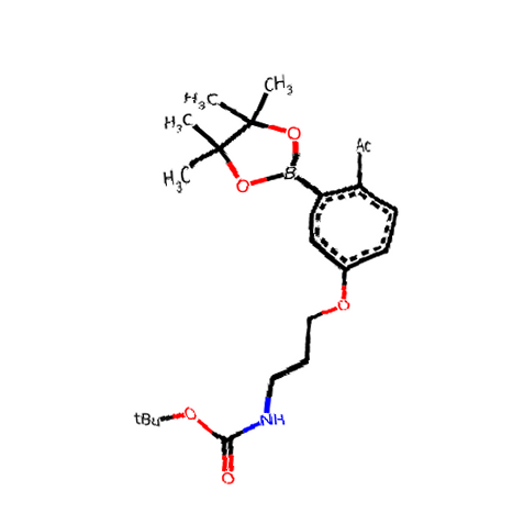 CC(=O)c1ccc(OCCCNC(=O)OC(C)(C)C)cc1B1OC(C)(C)C(C)(C)O1